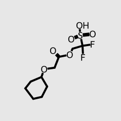 O=C(COC1CCCCC1)OCC(F)(F)S(=O)(=O)O